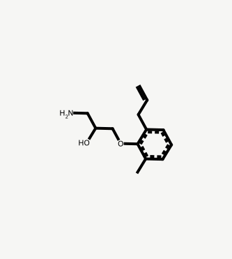 C=CCc1cccc(C)c1OCC(O)CN